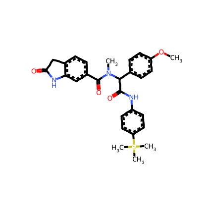 COc1ccc(C(C(=O)Nc2ccc(S(C)(C)C)cc2)N(C)C(=O)c2ccc3c(c2)NC(=O)C3)cc1